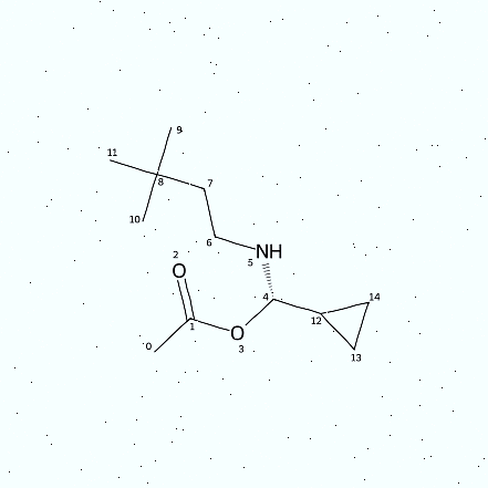 CC(=O)O[C@H](NCCC(C)(C)C)C1CC1